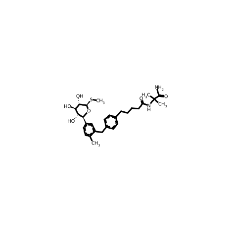 CS[C@H]1O[C@@H](c2ccc(C)c(Cc3ccc(CCCCC(=O)NC(C)(C)C(N)=O)cc3)c2)[C@H](O)[C@@H](O)[C@@H]1O